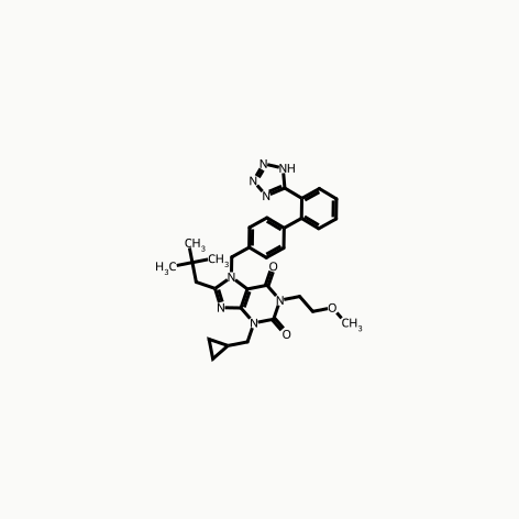 COCCn1c(=O)c2c(nc(CC(C)(C)C)n2Cc2ccc(-c3ccccc3-c3nnn[nH]3)cc2)n(CC2CC2)c1=O